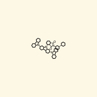 O=C1c2cccc(-n3c4cc(-n5c6ccccc6c6ccccc65)ccc4c4ccc(-n5c6ccccc6c6ccccc65)cc43)c2C(=O)N1c1cccc(-c2ccccc2)c1